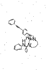 O=C(Nc1ccccc1)N1CCCCN2C[C@H](c3ccc(C#Cc4ccccc4)cc3)[C@@H]2C1